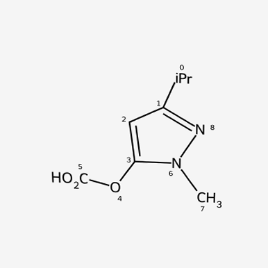 CC(C)c1cc(OC(=O)O)n(C)n1